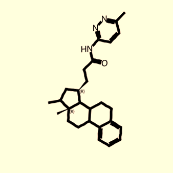 Cc1ccc(NC(=O)CC[C@@H]2CC(C)[C@@]3(C)CCC4c5ccccc5CCC4C23)nn1